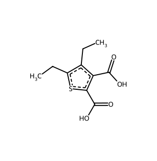 CCc1sc(C(=O)O)c(C(=O)O)c1CC